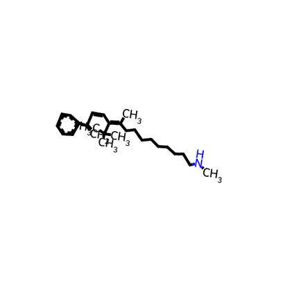 C=C(/C=C\C(=C(/C)CCCCCCCCCNC)C(C)(C)C)c1ccccc1